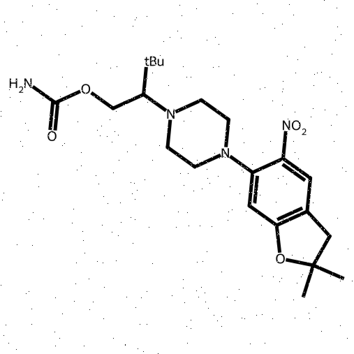 CC1(C)Cc2cc([N+](=O)[O-])c(N3CCN(C(COC(N)=O)C(C)(C)C)CC3)cc2O1